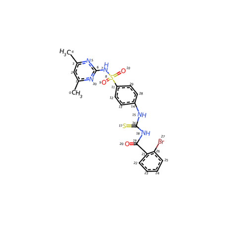 Cc1cc(C)nc(NS(=O)(=O)c2ccc(NC(=S)NC(=O)c3ccccc3Br)cc2)n1